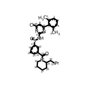 Cc1cccc(C)c1-c1cc(Cl)nc(N[S+]([O-])c2cccc(C(=O)N3CCCCC3CC(C)C)c2)n1